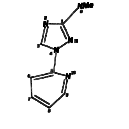 CNc1ncn(-c2ccccn2)n1